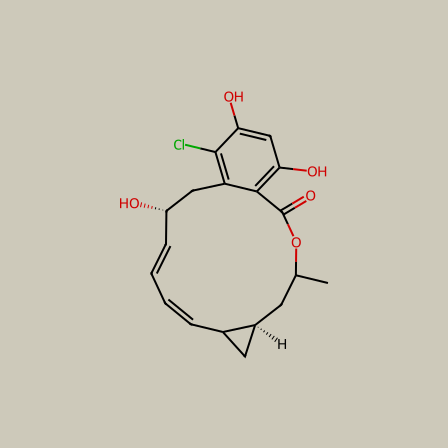 CC1C[C@H]2CC2/C=C\C=C\[C@H](O)Cc2c(Cl)c(O)cc(O)c2C(=O)O1